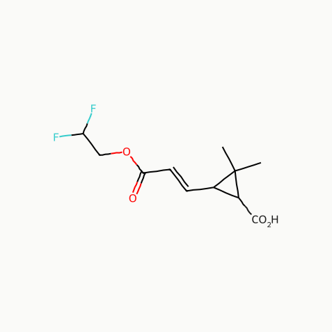 CC1(C)C(/C=C/C(=O)OCC(F)F)C1C(=O)O